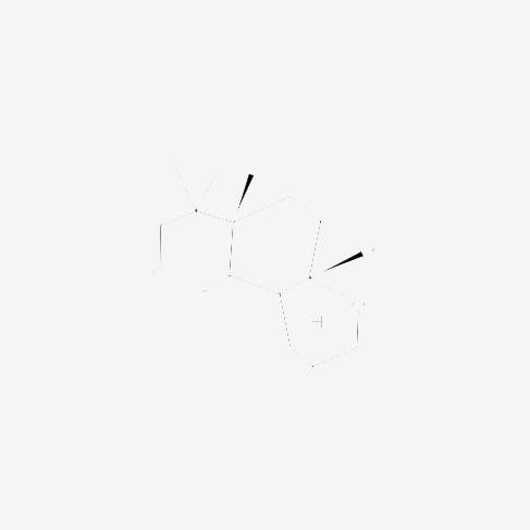 CC1(C)CCC[C@]2(C)[C@@H]3CCCO[C@@]3(C)CC[C@@]12C